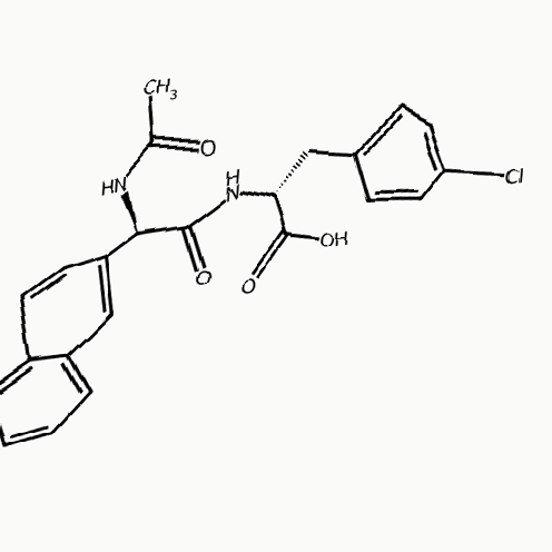 CC(=O)N[C@@H](C(=O)N[C@H](Cc1ccc(Cl)cc1)C(=O)O)c1ccc2ccccc2c1